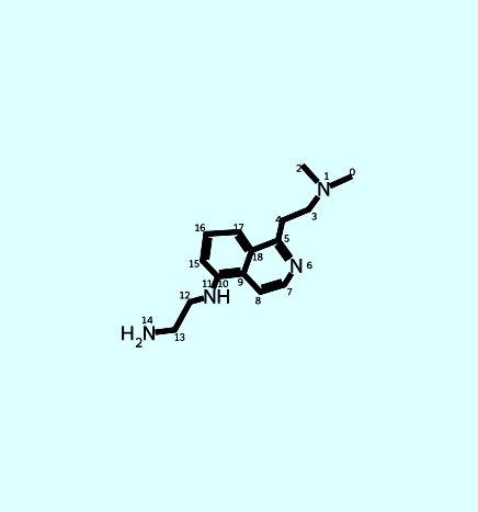 CN(C)CCc1nccc2c(NCCN)cccc12